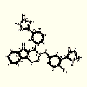 Fc1ccc(CN2CCc3c([nH]c4ccccc34)C2c2cccc(-c3nn[nH]n3)c2)cc1-c1nn[nH]n1